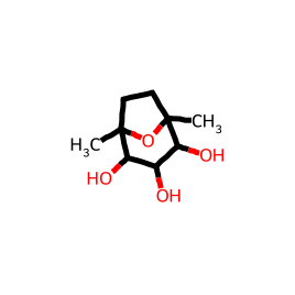 CC12CCC(C)(O1)C(O)C(O)C2O